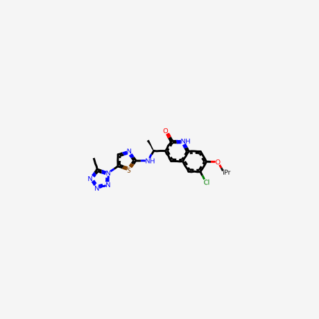 Cc1nnnn1-c1cnc(N[C@@H](C)c2cc3cc(Cl)c(OC(C)C)cc3[nH]c2=O)s1